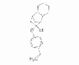 C=Cc1ccc(OC2(CC)CC3CC2C2CCCCC32)cc1